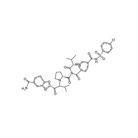 CC(C)C(C(=O)c1nc2cc(C(N)=O)ccc2o1)N1CCC[C@H]1C(=O)N(C(=O)c1ccc(C(=O)NS(=O)(=O)c2ccc(Cl)cc2)cc1)C(=O)[C@@H](N)C(C)C